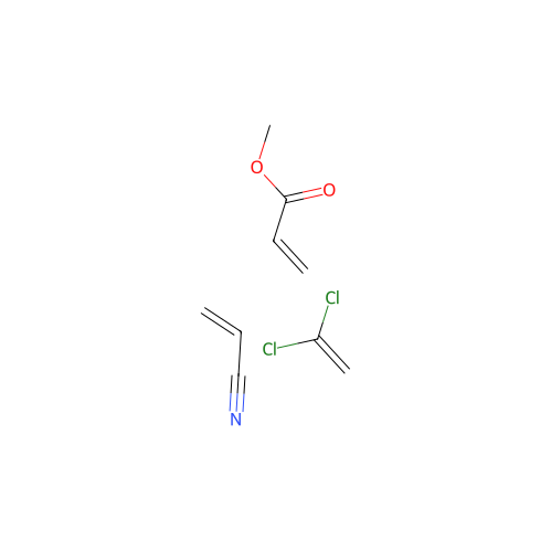 C=C(Cl)Cl.C=CC#N.C=CC(=O)OC